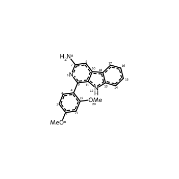 COc1ccc(-c2nc(N)cc3c2[nH]c2ccccc23)c(OC)c1